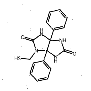 O=C1NC2(c3ccccc3)NC(=O)N(CS)C2(c2ccccc2)N1